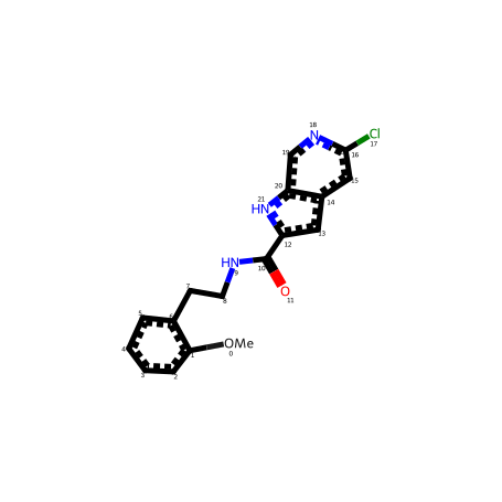 COc1ccccc1CCNC(=O)c1cc2cc(Cl)ncc2[nH]1